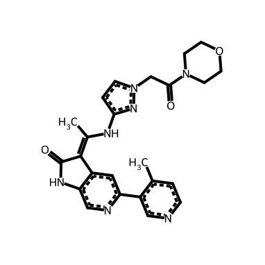 CC(Nc1ccn(CC(=O)N2CCOCC2)n1)=C1C(=O)Nc2cnc(-c3cnccc3C)cc21